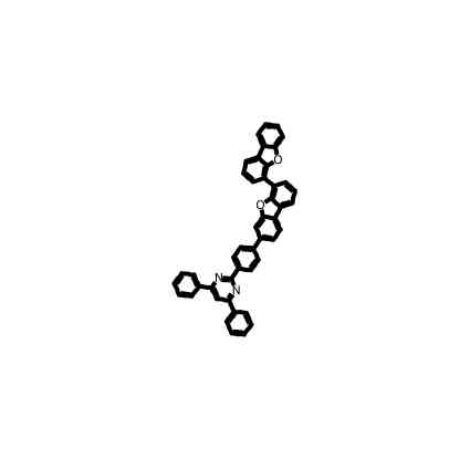 c1ccc(-c2cc(-c3ccccc3)nc(-c3ccc(-c4ccc5c(c4)oc4c(-c6cccc7c6oc6ccccc67)cccc45)cc3)n2)cc1